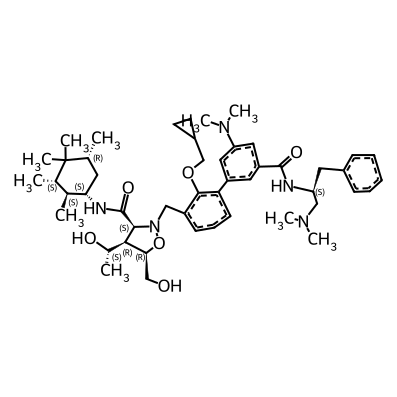 C[C@@H]1[C@@H](NC(=O)[C@@H]2[C@H]([C@H](C)O)[C@H](CO)ON2Cc2cccc(-c3cc(C(=O)N[C@@H](Cc4ccccc4)CN(C)C)cc(N(C)C)c3)c2OCC2CC2)C[C@@H](C)C(C)(C)[C@H]1C